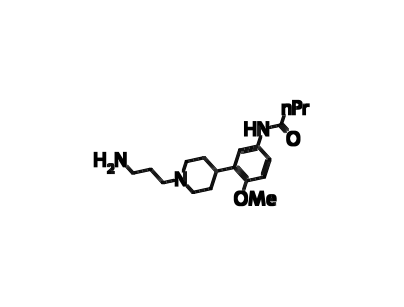 CCCC(=O)Nc1ccc(OC)c(C2CCN(CCCN)CC2)c1